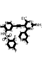 CCc1nc(N)nc(-c2ccnc(C)c2)c1C#Cc1cnc(C)c(NS(=O)(=O)c2ccc(F)cc2F)c1